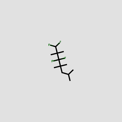 CC(C)CC(C)(C)C(F)(F)C(C)(C)C(F)F